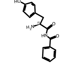 N[C@@H](Cc1ccc(O)cc1)C(=O)NC(=O)c1ccccc1